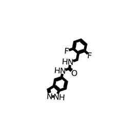 O=C(NCc1c(F)cccc1F)Nc1ccc2[nH]ncc2c1